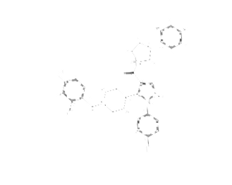 O=C(c1cnn(-c2ccc(F)cc2)c1C1CCN(Cc2ccc(F)cc2Cl)CC1)N1CC[C@H](c2ccccc2)C1